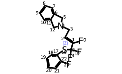 F/C(=C\CN1Cc2ccccc2C1)C(F)(F)Sc1ccccc1F